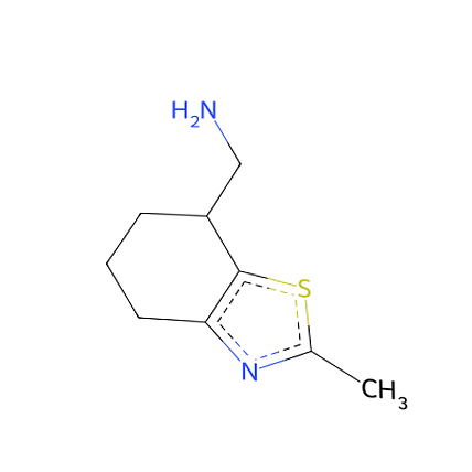 Cc1nc2c(s1)C(CN)CCC2